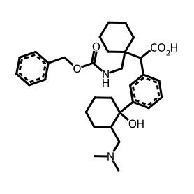 CN(C)CC1CCCCC1(O)c1cccc(C(C(=O)O)C2(CNC(=O)OCc3ccccc3)CCCCC2)c1